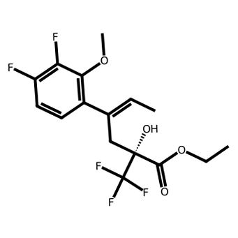 CC=C(C[C@@](O)(C(=O)OCC)C(F)(F)F)c1ccc(F)c(F)c1OC